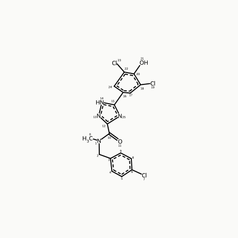 CN(Cc1ccc(Cl)cc1)C(=O)c1n[nH]c(-c2cc(Cl)c(O)c(Cl)c2)n1